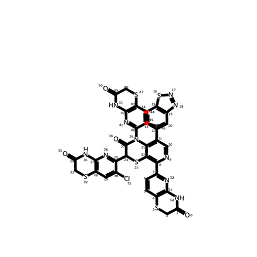 O=C1CSc2ccc(-c3n[c]c(-c4cnc5snnc5c4)c4c3SC(c3nc5c(cc3Cl)SCC(=O)N5)C(=O)N4c3nc4c(cc3F)SCC(=O)N4)nc2N1